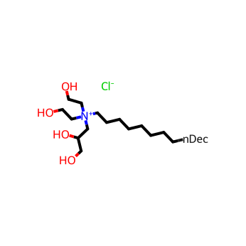 CCCCCCCCCCCCCCCCCC[N+](CCO)(CCO)CC(O)CO.[Cl-]